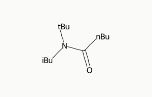 [CH2]CCCC(=O)N(C(C)CC)C(C)(C)C